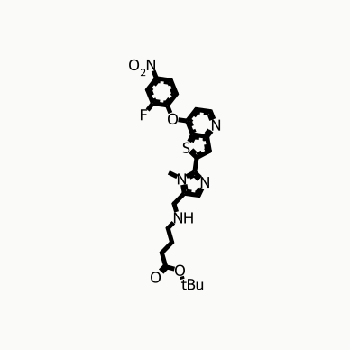 Cn1c(CNCCCC(=O)OC(C)(C)C)cnc1-c1cc2nccc(Oc3ccc([N+](=O)[O-])cc3F)c2s1